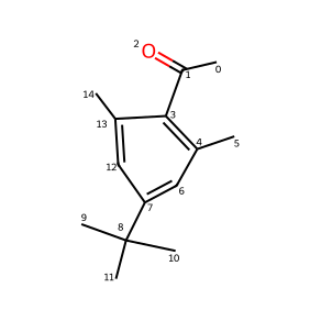 CC(=O)c1c(C)cc(C(C)(C)C)cc1C